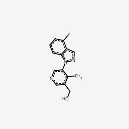 Cc1c(CO)cncc1-n1ncc2c(F)cccc21